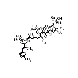 CCC[C@@H](C(=O)C(C)(C)[C@H](CCO[Si](C)(C)C(C)(C)C)O[Si](C)(C)C(C)(C)C)[C@@H](O[Si](C)(C)C(C)(C)C)[C@@H](C)CCCC(C)=CC[C@H](O[Si](C)(C)C(C)(C)C)/C(C)=C/c1csc(C)n1